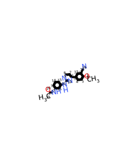 COc1ccc(-c2ccnc(Nc3cccc(NC(C)=O)c3)n2)cc1C#N